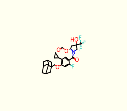 O=CO[C@@H]1CC(O)(C(F)(F)F)CN1C(=O)c1cc(C2CC2)c(OCC23CC4CC(CC(C4)C2)C3)cc1F